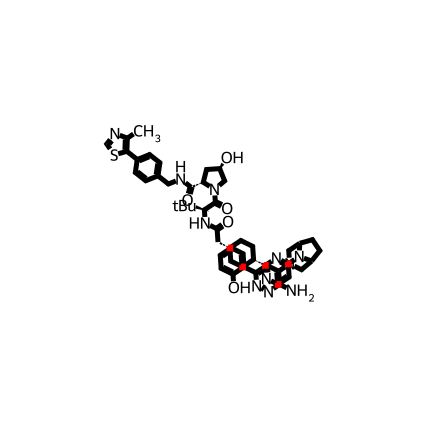 Cc1ncsc1-c1ccc(CNC(=O)[C@@H]2C[C@@H](O)CN2C(=O)[C@@H](NC(=O)C[C@H]2CC[C@@H](c3nccc(N4C5CCC4CN(c4cc(-c6ccccc6O)nnc4N)C5)n3)CC2)C(C)(C)C)cc1